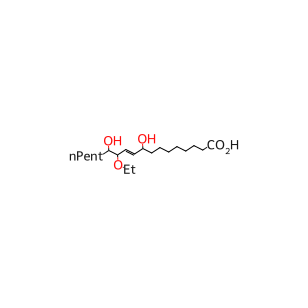 CCCCCC(O)C(C=CC(O)CCCCCCCC(=O)O)OCC